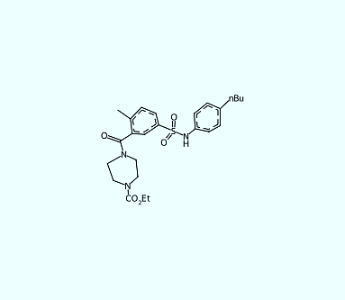 CCCCc1ccc(NS(=O)(=O)c2ccc(C)c(C(=O)N3CCN(C(=O)OCC)CC3)c2)cc1